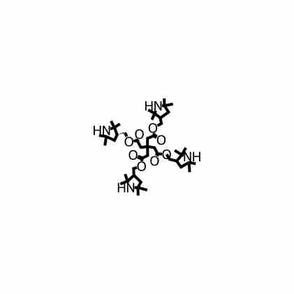 CC1(C)CC(COC(=O)CC(CC(=O)OCC2CC(C)(C)NC2(C)C)(CC(=O)OCC2CC(C)(C)NC2(C)C)CC(=O)OC[C@@H]2CC(C)(C)NC2(C)C)C(C)(C)N1